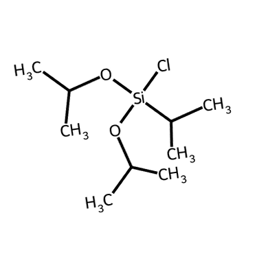 CC(C)O[Si](Cl)(OC(C)C)C(C)C